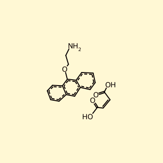 NCCOc1c2ccccc2cc2ccccc12.O=C(O)/C=C\C(=O)O